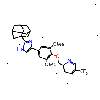 COc1cc(-c2c[nH]c(C34CC5CC(CC(C5)C3)C4)n2)cc(OC)c1OCC1CC=C(C(F)(F)F)C=N1